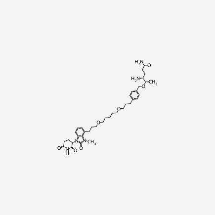 C[C@@H](OCc1ccc(CCCOCCCCCOCCCc2cccc3c2n(C)c(=O)n3C2CCC(=O)NC2=O)cc1)[C@@H](N)CCC(N)=O